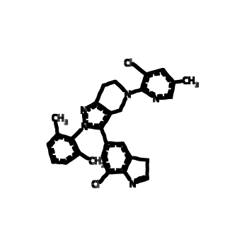 Cc1cnc(N2CCc3nn(-c4c(C)cccc4C)c(-c4cc(Cl)c5c(c4)CC=N5)c3C2)c(Cl)c1